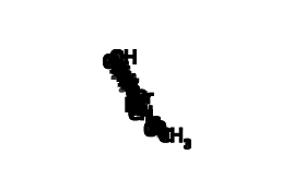 CCOC(=O)CCC/C=C/c1c(Br)c(COc2ccc(N3CCN(C(=O)O)CC3)cc2)nn1C